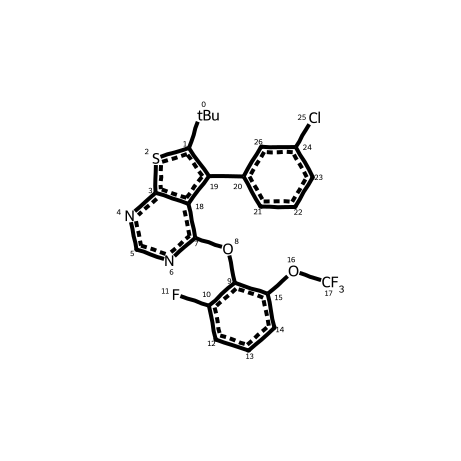 CC(C)(C)c1sc2ncnc(Oc3c(F)cccc3OC(F)(F)F)c2c1-c1cccc(Cl)c1